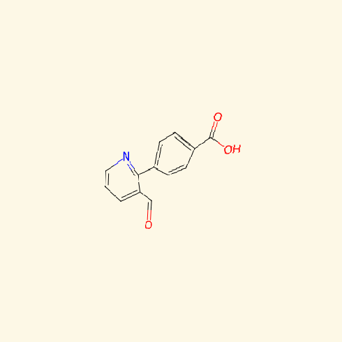 O=Cc1cccnc1-c1ccc(C(=O)O)cc1